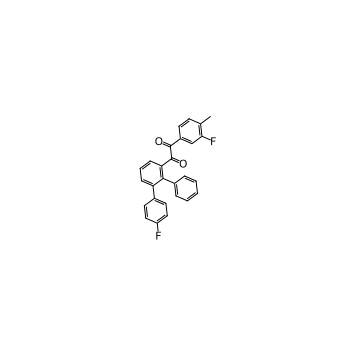 Cc1ccc(C(=O)C(=O)c2cccc(-c3ccc(F)cc3)c2-c2ccccc2)cc1F